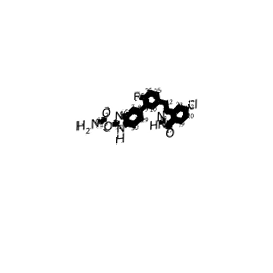 NC(=O)Oc1nc2cc(-c3cc(Cc4n[nH]c(=O)c5ccc(Cl)cc45)ccc3F)ccc2[nH]1